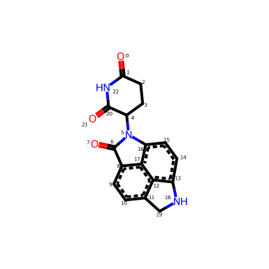 O=C1CCC(N2C(=O)c3ccc4c5c(ccc2c35)NC4)C(=O)N1